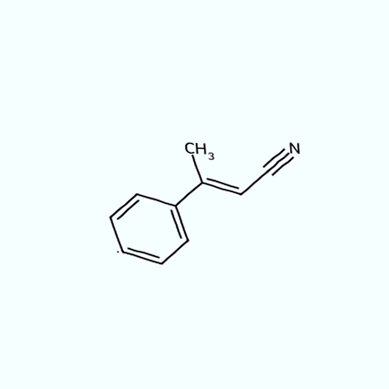 C/C(=C\C#N)c1cc[c]cc1